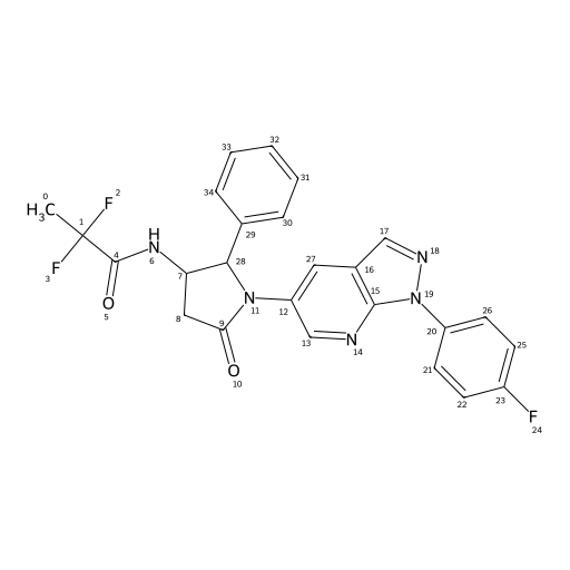 CC(F)(F)C(=O)NC1CC(=O)N(c2cnc3c(cnn3-c3ccc(F)cc3)c2)C1c1ccccc1